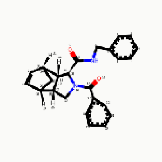 O=C(NCc1ccccc1)[C@@H]1[C@@H]2[C@H](CN1C(=O)c1ccccc1)[C@@H]1C=C[C@H]2C1